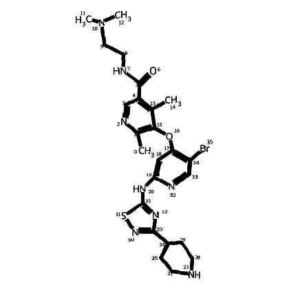 Cc1ncc(C(=O)NCCN(C)C)c(C)c1Oc1cc(Nc2nc(C3CCNCC3)ns2)ncc1Br